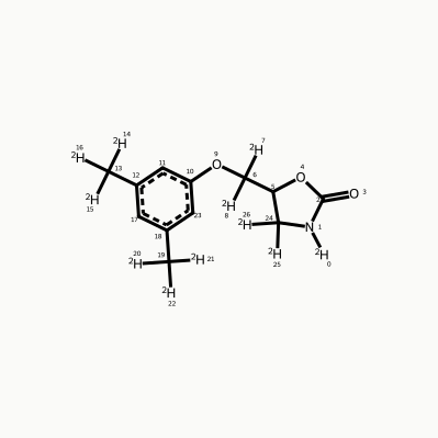 [2H]N1C(=O)OC(C([2H])([2H])Oc2cc(C([2H])([2H])[2H])cc(C([2H])([2H])[2H])c2)C1([2H])[2H]